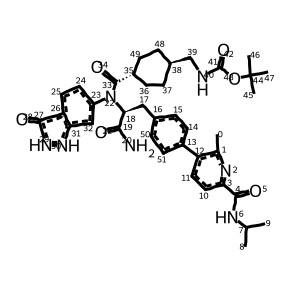 Cc1nc(C(=O)NC(C)C)ccc1-c1ccc(C[C@@H](C(N)=O)N(c2ccc3c(=O)[nH][nH]c3c2)C(=O)[C@H]2CC[C@H](CNC(=O)OC(C)(C)C)CC2)cc1